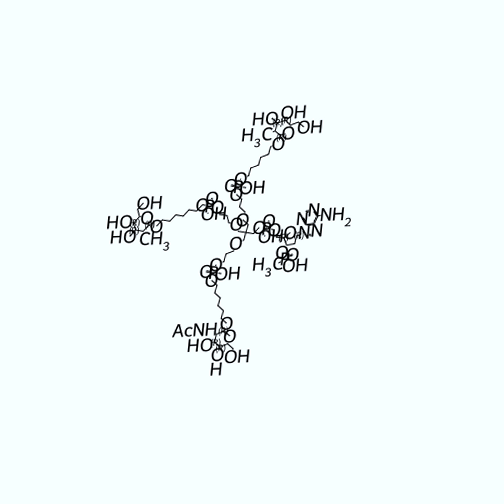 CC(=O)NC1[C@H](OCCCCCCOP(=O)(O)OCCCOCC(COCCCOP(=O)(O)OCCCCCCO[C@@H]2OC(CO)[C@H](O)[C@H](O)C2C)(COCCCOP(=O)(O)OCCCCCCO[C@@H]2OC(CO)[C@H](O)[C@H](O)C2C)COP(=O)(O)OC[C@H]2O[C@@H](n3cnc4c(N)ncnc43)CC2OP(C)(=O)O)OC(CO)[C@H](O)[C@@H]1O